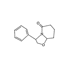 O=C1CCCC2OCC(c3ccccc3)N12